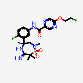 CN1C[C@@](C)(c2cc(NC(=O)c3cnc(OCCF)cn3)ccc2F)NC(=N)C(C)(C)S1(=O)=O